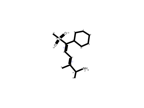 C/C(=C\C=C(/C1CCCCC1)S(C)(=O)=O)C(C)N